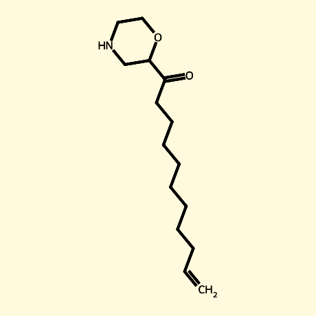 C=CCCCCCCCCC(=O)C1CNCCO1